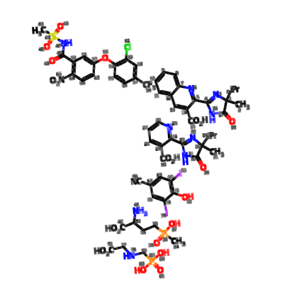 CC(C)C1(C)N=C(c2nc3ccccc3cc2C(=O)O)NC1=O.CC(C)C1(C)N=C(c2ncccc2C(=O)O)NC1=O.CP(=O)(O)CCC(N)C(=O)O.CS(=O)(=O)NC(=O)c1cc(Oc2ccc(C(F)(F)F)cc2Cl)ccc1[N+](=O)[O-].N#Cc1cc(I)c(O)c(I)c1.O=C(O)CNCP(=O)(O)O